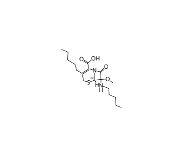 CCCCCNC1(OC)C(=O)N2C(C(=O)O)=C(CCCCC)CS[C@H]21